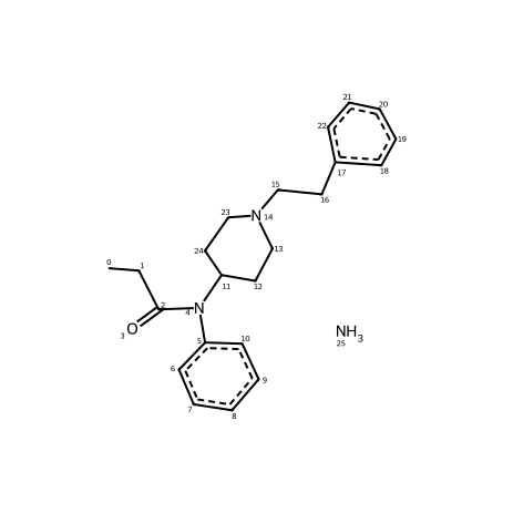 CCC(=O)N(c1ccccc1)C1CCN(CCc2ccccc2)CC1.N